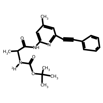 [2H]N(C(=O)OC(C)(C)C)C(C)C(=O)Nc1cc(C)cc(C#Cc2ccccc2)n1